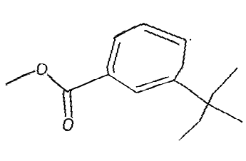 COC(=O)c1cc[c]c(C(C)(C)C)c1